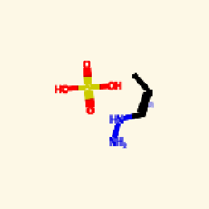 C/C=C\NN.O=S(=O)(O)O